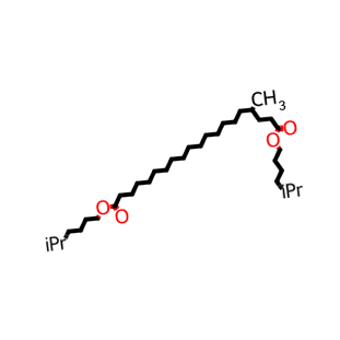 CC(C)CCCCOC(=O)CCCCCCCCCCCCCCCC(C)CCC(=O)OCCCCC(C)C